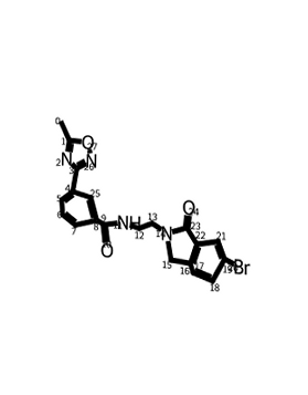 Cc1nc(-c2cccc(C(=O)NCCN3Cc4ccc(Br)cc4C3=O)c2)no1